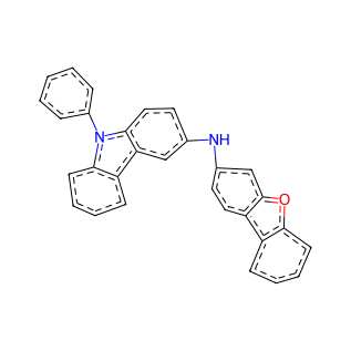 c1ccc(-n2c3ccccc3c3cc(Nc4ccc5c(c4)oc4ccccc45)ccc32)cc1